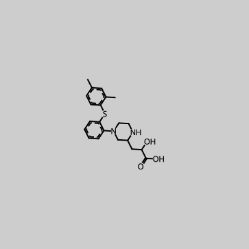 Cc1ccc(Sc2ccccc2N2CCNC(CC(O)C(=O)O)C2)c(C)c1